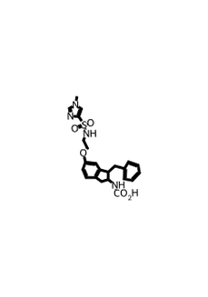 Cn1cnc(S(=O)(=O)NCCOc2ccc3c(c2)C(Cc2ccccc2)C(NC(=O)O)C3)c1